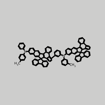 Cc1ccc(N(c2ccccc2)c2ccc3cc4c(cc3c2)C2(c3ccccc3-c3ccccc32)c2c-4c3ccccc3c3c(-c4cccc(N(c5cccc(C)c5)c5ccc6cc7c(cc6c5)C5(c6ccccc6-c6ccccc65)c5c-7c6ccccc6c6ccccc56)c4)cccc23)cc1